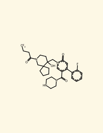 O=C(CCC(F)(F)F)N1CCC(O)(Cn2cc(C(=O)N3CCNCC3)c(-c3ccccc3F)cc2=O)C2(CCCC2)C1